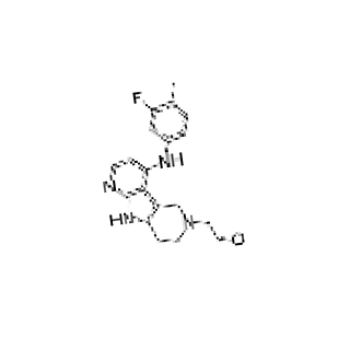 Cc1ccc(Nc2ccnc3[nH]c4c(c23)CN(CC=O)CC4)cc1F